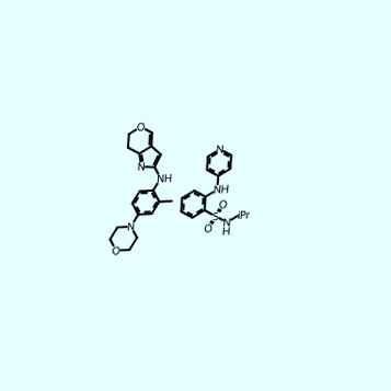 CC(C)NS(=O)(=O)c1ccccc1Nc1ccncc1.Cc1cc(N2CCOCC2)ccc1NC1=CC2=COCCC2=N1